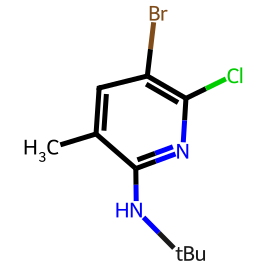 Cc1cc(Br)c(Cl)nc1NC(C)(C)C